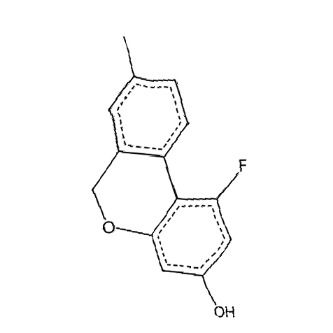 Cc1ccc2c(c1)COc1cc(O)cc(F)c1-2